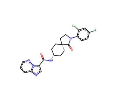 O=C(N[C@H]1CC[C@@]2(CCN(c3ccc(F)cc3Cl)C2=O)CC1)c1cnc2cccnn12